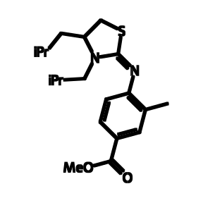 COC(=O)c1ccc(N=C2SCC(CC(C)C)N2CC(C)C)c(C)c1